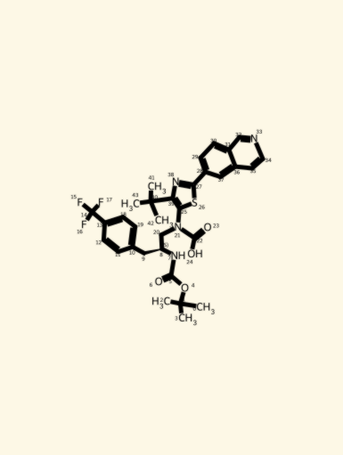 CC(C)(C)OC(=O)N[C@@H](Cc1ccc(C(F)(F)F)cc1)CN(C(=O)O)c1sc(-c2ccc3cnccc3c2)nc1C(C)(C)C